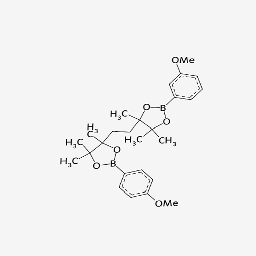 COc1ccc(B2OC(C)(C)C(C)(CCC3(C)OB(c4cccc(OC)c4)OC3(C)C)O2)cc1